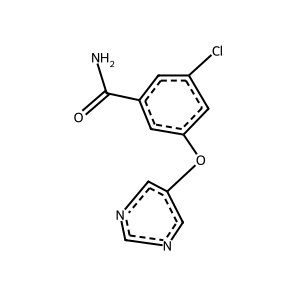 NC(=O)c1cc(Cl)cc(Oc2cncnc2)c1